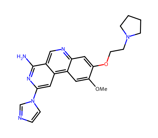 COc1cc2c(cc1OCCN1CCCC1)ncc1c(N)nc(-n3ccnc3)cc12